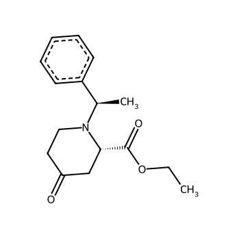 CCOC(=O)[C@@H]1CC(=O)CCN1[C@H](C)c1ccccc1